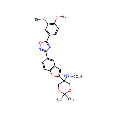 CCOc1ccc(-c2nc(-c3ccc4oc(C5(NC(=O)O)COC(C)(C)OC5)cc4c3)no2)cc1OCC